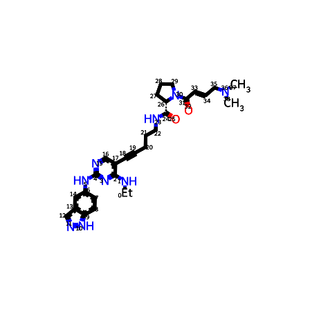 CCNc1nc(Nc2ccc3[nH]ncc3c2)ncc1C#CCCCNC(=O)[C@@H]1CCCN1C(=O)C=CCN(C)C